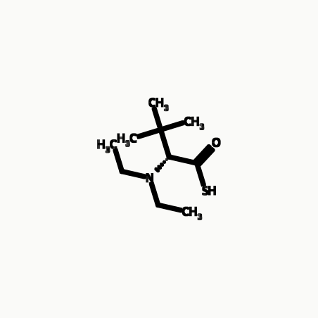 CCN(CC)[C@@H](C(=O)S)C(C)(C)C